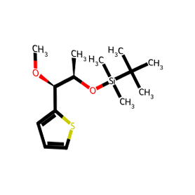 CO[C@H](c1cccs1)[C@@H](C)O[Si](C)(C)C(C)(C)C